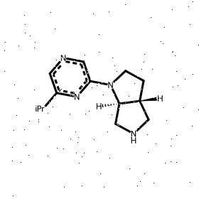 CC(C)c1cncc(N2CC[C@@H]3CNC[C@H]32)n1